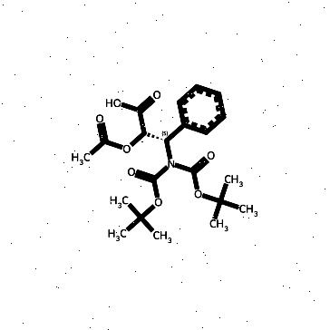 CC(=O)OC(C(=O)O)[C@H](c1ccccc1)N(C(=O)OC(C)(C)C)C(=O)OC(C)(C)C